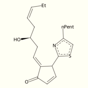 CC/C=C\C[C@H](O)C/C=C1/C(=O)C=CC1c1nc(CCCCC)cs1